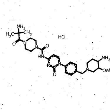 COC1CN(Cc2ccc(-n3ccc(NC(=O)N4CCN(C(=O)C(C)(C)N)CC4)nc3=O)cc2)CCC1N.Cl